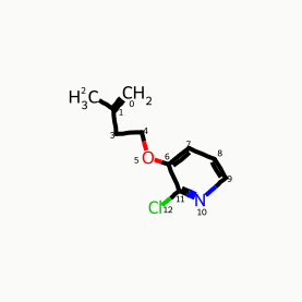 C=C(C)CCOc1cccnc1Cl